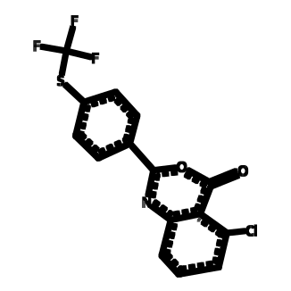 O=c1oc(-c2ccc(SC(F)(F)F)cc2)nc2cccc(Cl)c12